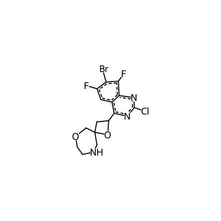 Fc1cc2c(C3CC4(CNCCOC4)O3)nc(Cl)nc2c(F)c1Br